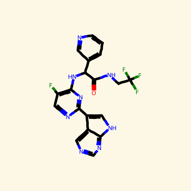 O=C(NCC(F)(F)F)C(Nc1nc(-c2c[nH]c3ncncc23)ncc1F)c1cccnc1